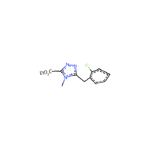 CCOC(=O)c1nnc(Cc2ccccc2F)n1C